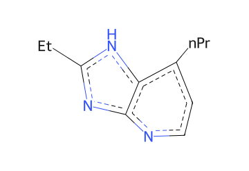 CCCc1ccnc2nc(CC)[nH]c12